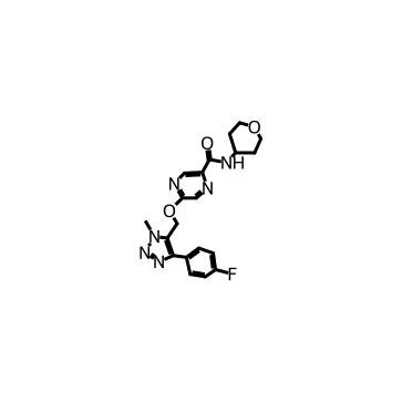 Cn1nnc(-c2ccc(F)cc2)c1COc1cnc(C(=O)NC2CCOCC2)cn1